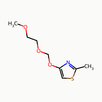 COCCOCOc1csc(C)n1